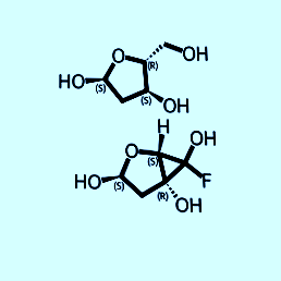 OC[C@H]1O[C@H](O)C[C@@H]1O.O[C@@H]1C[C@@]2(O)[C@H](O1)C2(O)F